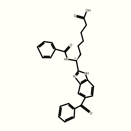 O=C(O)CCCCC[C@H](NC(=O)c1ccccc1)c1nc2cc(C(=O)c3ccccc3)ccc2[nH]1